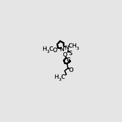 CCCC(=O)c1ccc(OC(=S)N(C)c2cccc(OC)n2)cc1